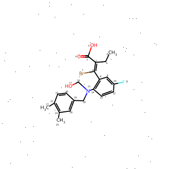 CC/C(C(=O)O)=C(/Br)c1cc(F)ccc1N(CO)Cc1ccc(C)c(C)c1